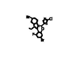 CCc1c2n(c3ccc(Br)cc13)C(c1cnc(Cl)s1)Oc1cc(Br)cc(F)c1-2